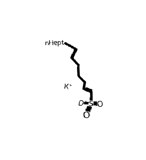 CCCCCCCCCCCCC=CS(=O)(=O)[O-].[K+]